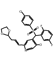 O=S(=O)(c1ccc(Cl)cc1)C(c1cc(F)ccc1F)c1cc(C=CCC2OCCO2)ncc1Cl